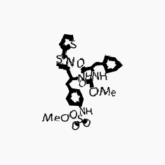 COOS(=O)(=O)Nc1ccc(CC(NC(=O)C(Cc2ccccc2)NC(=O)OC)c2csc(-c3cccs3)n2)cc1